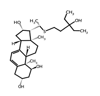 CCC(O)(CC)CCS[C@@H](C)[C@H]1[C@@H](O)C[C@H]2C3=CC=C4C[C@@H](O)C[C@H](O)[C@]4(C)[C@H]3CC[C@]12C